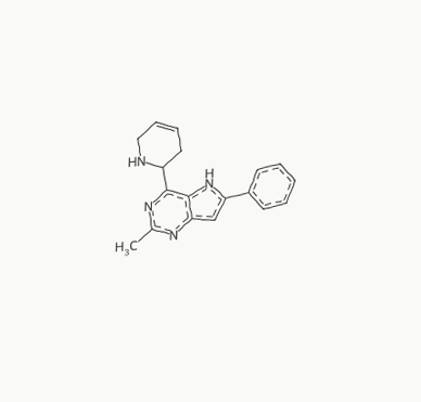 Cc1nc(C2CC=CCN2)c2[nH]c(-c3ccccc3)cc2n1